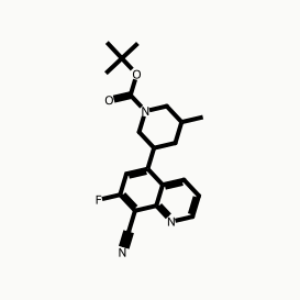 CC1CC(c2cc(F)c(C#N)c3ncccc23)CN(C(=O)OC(C)(C)C)C1